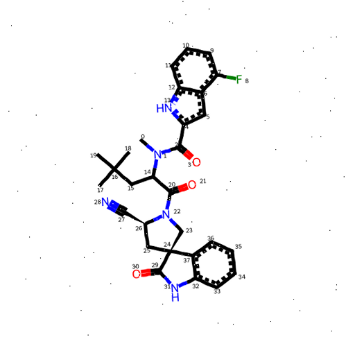 CN(C(=O)c1cc2c(F)cccc2[nH]1)C(CC(C)(C)C)C(=O)N1C[C@]2(C[C@H]1C#N)C(=O)Nc1ccccc12